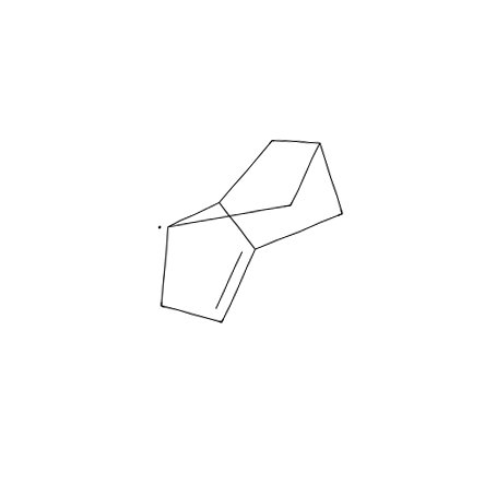 C1=C2CC3C[C](C1)C2C3